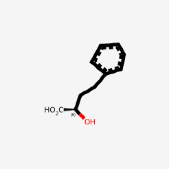 O=C(O)[C@H](O)[CH]Cc1ccccc1